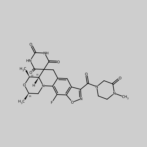 C[C@@H]1CN2c3c(cc4c(C(=O)N5CCN(C)C(=O)C5)noc4c3F)CC3(C(=O)NC(=O)NC3=O)[C@H]2[C@H](C)O1